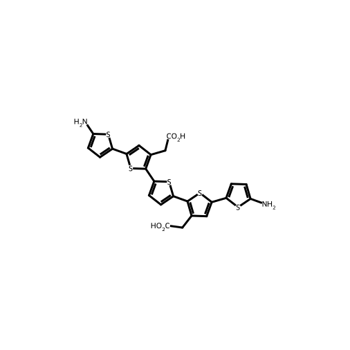 Nc1ccc(-c2cc(CC(=O)O)c(-c3ccc(-c4sc(-c5ccc(N)s5)cc4CC(=O)O)s3)s2)s1